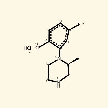 C[C@H]1CNCCN1c1cc(F)ccc1Cl.Cl